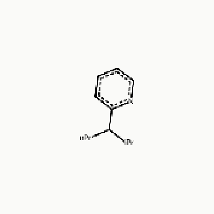 CCCC(c1ccccn1)C(C)C